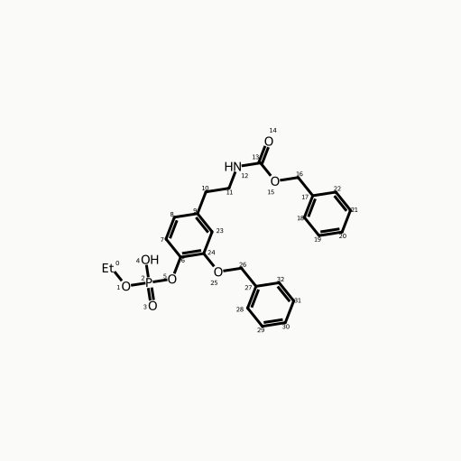 CCOP(=O)(O)Oc1ccc(CCNC(=O)OCc2ccccc2)cc1OCc1ccccc1